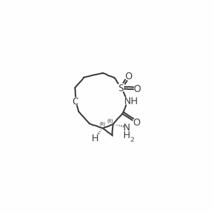 N[C@]12C[C@H]1CCCCCCCS(=O)(=O)NC2=O